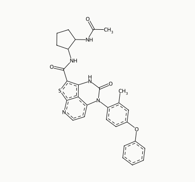 CC(=O)NC1CCCC1NC(=O)c1sc2nccc3c2c1NC(=O)N3c1ccc(Oc2ccccc2)cc1C